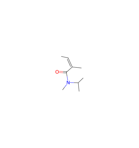 C/C=C(/C)C(=O)N(C)C(C)C